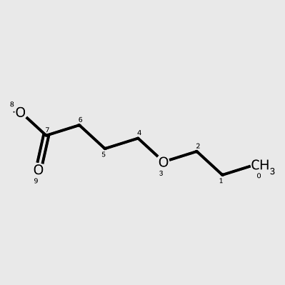 CCCOCCCC([O])=O